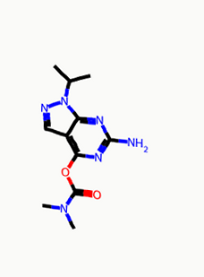 CC(C)n1ncc2c(OC(=O)N(C)C)nc(N)nc21